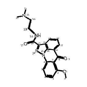 COc1cccc2c1c(=O)c1cccc3c(C(=O)NCCN(C)C)nn2c31